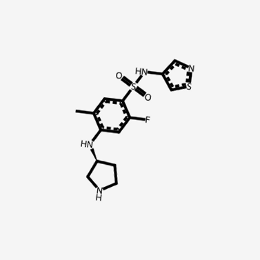 Cc1cc(S(=O)(=O)Nc2cnsc2)c(F)cc1N[C@H]1CCNC1